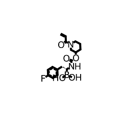 C=CC(=O)N1CCCC(OC(=O)N[C@@H](Cc2ccc(F)cc2)B(O)O)C1